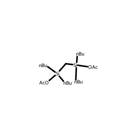 CCCC[Si](CCCC)(C[Si](CCCC)(CCCC)OC(C)=O)OC(C)=O